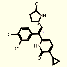 O=c1[nH]c(/C(=C/[C@H]2CCC(O)N2)c2ccc(Cl)c(C(F)(F)F)c2)ccc1C1CC1